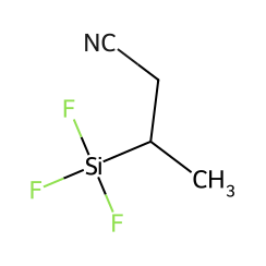 CC(CC#N)[Si](F)(F)F